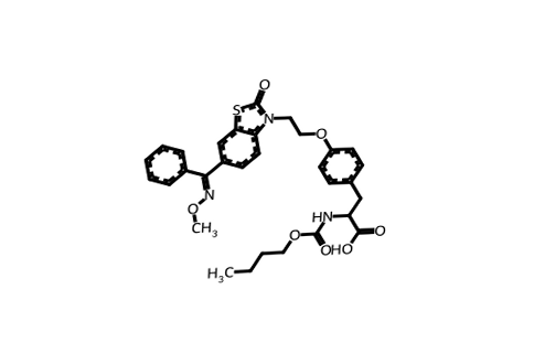 CCCCOC(=O)NC(Cc1ccc(OCCn2c(=O)sc3cc(/C(=N/OC)c4ccccc4)ccc32)cc1)C(=O)O